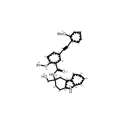 COc1ccccc1C#Cc1ccc(OC(C)C)c(C(=O)NC2(CO)CCc3[nH]c4ccccc4c3C2)c1